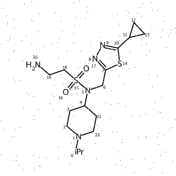 CC(C)N1CCC(N(Cc2nnc(C3CC3)s2)S(=O)(=O)CCN)CC1